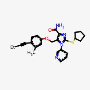 CCC#Cc1ccc(OCc2c(C(N)=O)nc(SC3CCCC3)n2-c2cccnc2)cc1C